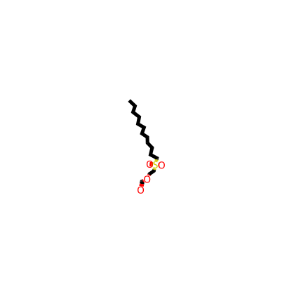 CCCCCCCCCCCCS(=O)(=O)CCOC=O